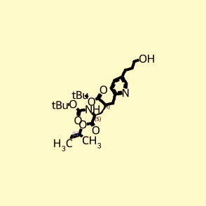 C/C=C(\C)OC(=O)[C@H](C[C@H](Cc1ccc(CCCO)cn1)C(=O)OC(C)(C)C)NC(=O)OC(C)(C)C